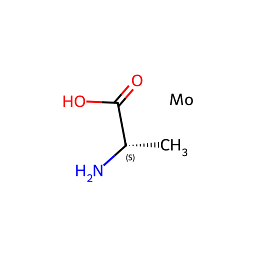 C[C@H](N)C(=O)O.[Mo]